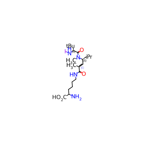 C/C(=C\[C@H](C(C)C)N(C)C(=O)[C@@H](NI)C(C)(C)C)C(=O)NCCCCC(N)C(=O)O